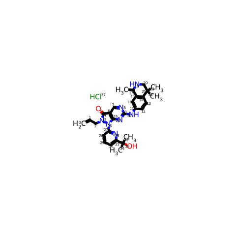 C=CCn1c(=O)c2cnc(Nc3ccc4c(c3)C(C)NCC4(C)C)nc2n1-c1cccc(C(C)(C)O)n1.Cl